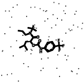 CCCN(C(=O)[C@H](CC(C)C)OC(=O)Nc1ccc(C(F)(F)F)cc1)C(C)(C)C